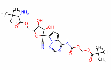 CC(C)(C)C(=O)OCOC(=O)Nc1ncnn2c([C@]3(C#N)O[C@H](COC(=O)[C@@H](N)C(C)(C)C)[C@@H](O)[C@H]3O)ccc12